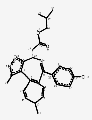 Cc1noc2c1C1=C(C=CC(C)C=C1)C(c1ccc(Cl)cc1)=N[C@H]2CC(=O)OCC(C)C